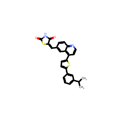 CC(C)c1cccc(-c2ccc(-c3ccnc4ccc(/C=C5/SC(=O)NC5=O)cc34)s2)c1